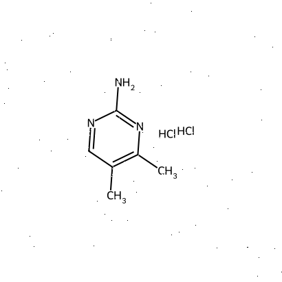 Cc1cnc(N)nc1C.Cl.Cl